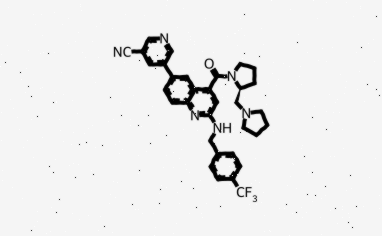 N#Cc1cncc(-c2ccc3nc(NCc4ccc(C(F)(F)F)cc4)cc(C(=O)N4CCC[C@H]4CN4CCCC4)c3c2)c1